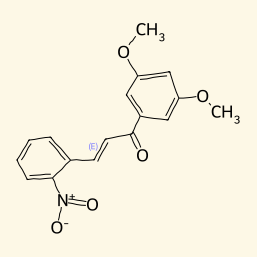 COc1cc(OC)cc(C(=O)/C=C/c2ccccc2[N+](=O)[O-])c1